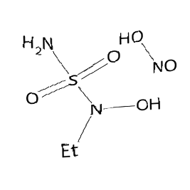 CCN(O)S(N)(=O)=O.O=NO